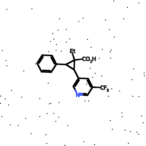 CCC1(C(=O)O)C(c2ccccc2)C1c1cncc(C(F)(F)F)c1